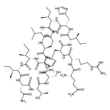 CC[C@H](C)[C@H](NC(=O)[C@H](Cc1ccccc1)NC(=O)[C@H](CCCNC(=N)N)NC(=O)[C@@H](N)CCC(N)=O)C(=O)N[C@@H](Cc1c[nH]cn1)C(=O)N[C@H](C(=O)N[C@H](C(=O)N[C@@H](CCC(N)=O)C(=O)N[C@@H](CO)C(=O)N[C@H](C(=O)N[C@H](C(=O)N[C@@H](CC(N)=O)C(=O)N[C@H](C(=O)N[C@@H](CO)C(N)=O)[C@@H](C)O)[C@@H](C)CC)[C@@H](C)CC)C(C)C)[C@@H](C)CC